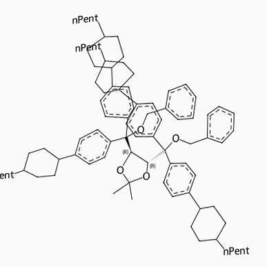 CCCCCC1CCC(c2ccc(C(OCc3ccccc3)(c3ccc(C4CCC(CCCCC)CC4)cc3)[C@@H]3OC(C)(C)O[C@H]3C(OCc3ccccc3)(c3ccc(C4CCC(CCCCC)CC4)cc3)c3ccc(C4CCC(CCCCC)CC4)cc3)cc2)CC1